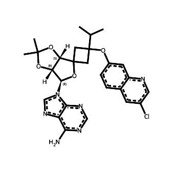 CC(C)C1(Oc2ccc3cc(Cl)cnc3c2)CC2(C1)O[C@@H](n1cnc3c(N)ncnc31)[C@@H]1OC(C)(C)O[C@@H]12